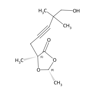 C[C@H]1OC(=O)[C@](C)(CC#CC(C)(C)CO)O1